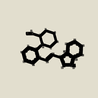 O=CC1CCCCN1c1ccccc1C=Cc1n[nH]c2ccccc12